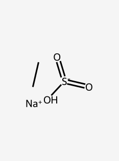 CC.O=[S-](=O)O.[Na+]